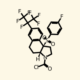 O=C(Cl)N1CC[C@@]2(S(=O)(=O)c3ccc(F)cc3)c3ccc(C(F)(C(F)(F)F)C(F)(F)F)cc3CC[C@@H]12